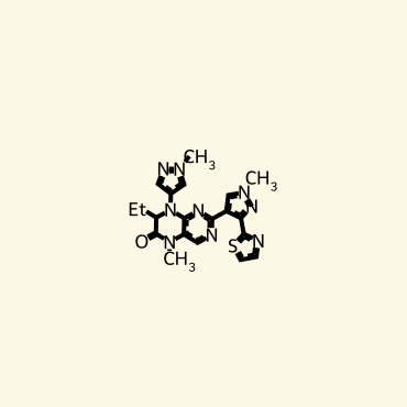 CCC1C(=O)N(C)c2cnc(-c3cn(C)nc3-c3nccs3)nc2N1c1cnn(C)c1